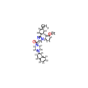 CCOc1cccc(-n2cc(C(=O)N3CCN(c4ccc5ccccc5c4)CC3)nc2-c2ccc(C)cc2)c1